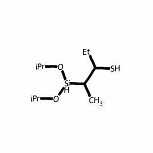 CCC(S)C(C)[SiH](OC(C)C)OC(C)C